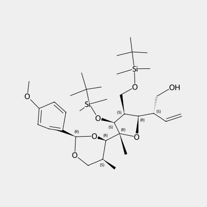 C=C[C@@H](CO)[C@H]1O[C@](C)([C@@H]2O[C@H](c3ccc(OC)cc3)OC[C@@H]2C)[C@@H](O[Si](C)(C)C(C)(C)C)[C@H]1CO[Si](C)(C)C(C)(C)C